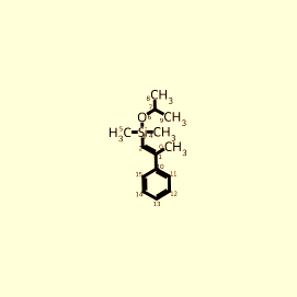 CC(=C[Si](C)(C)OC(C)C)c1ccccc1